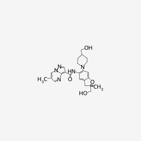 Cc1cnc2c(C(=O)Nc3cc4c(cc3N3CCC(CO)CC3)O[C@](C)(CO)C4)cnn2c1